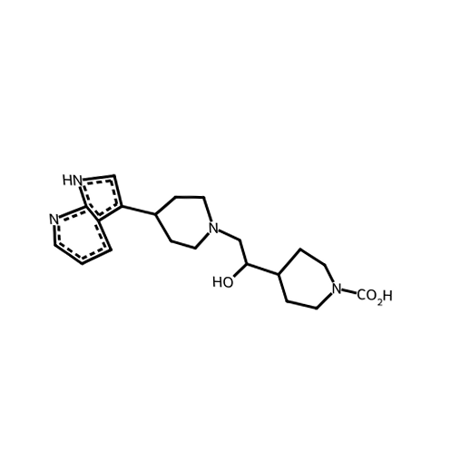 O=C(O)N1CCC(C(O)CN2CCC(c3c[nH]c4ncccc34)CC2)CC1